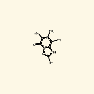 CCCCc1c(C)c(C#N)c2[nH]c(C(C)C)nn2c1=O